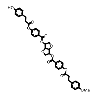 COc1ccc(CCC(=O)Oc2ccc(C(=O)OC3COC4C(OC(=O)c5ccc(OC(=O)CCc6ccc(O)cc6)cc5)COC34)cc2)cc1